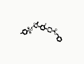 C=C1O[C@@H](COS(=O)(=O)c2ccc(C)cc2)CN1c1ccc(N2CCN(C(=O)OCc3ccccc3)CC2)c(F)c1